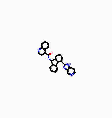 O=C(NC1c2ccccc2-c2c(-c3nc4cnccc4[nH]3)cccc21)c1ccnc2ccccc12